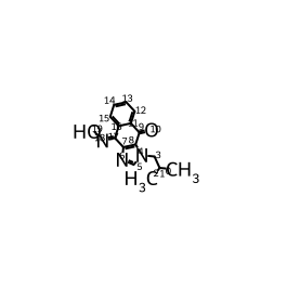 CC(C)Cn1cnc2c1C(=O)c1ccccc1C2=NO